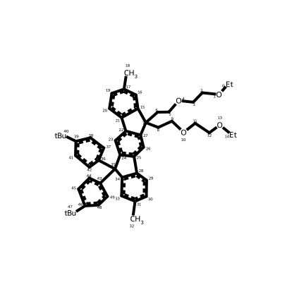 CCOCCOCCC1(CCOCCOCC)c2cc(C)ccc2-c2cc3c(cc21)-c1ccc(C)cc1C3(c1ccc(C(C)(C)C)cc1)c1ccc(C(C)(C)C)cc1